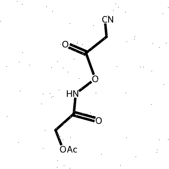 CC(=O)OCC(=O)NOC(=O)CC#N